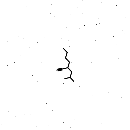 CCCCC(C#N)CC(C)C